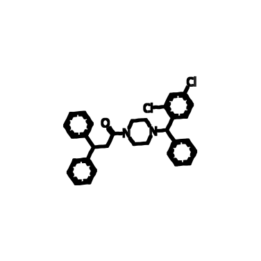 O=C(CC(c1ccccc1)c1ccccc1)N1CCN(C(c2ccccc2)c2ccc(Cl)cc2Cl)CC1